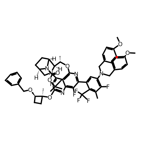 COc1ccc(CN(Cc2ccc(OC)cc2)c2cc(-c3nc4c5c(nc(O[C@@]6(C)CC[C@H]6OCc6ccccc6)nc5c3F)N3C[C@H]5CC[C@@H]([C@H]3[C@H](C)O4)N5C(=O)OC(C)(C)C)c(C(F)(F)F)c(C)c2F)cc1